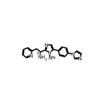 CCCn1c(-c2ccc(-n3ccnc3)cc2)cnc1[C@@H](N)Cc1ccccn1